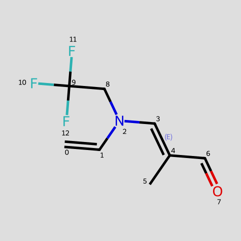 C=CN(/C=C(\C)C=O)CC(F)(F)F